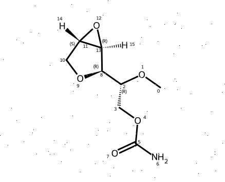 CO[C@H](COC(N)=O)[C@H]1OC[C@@H]2O[C@@H]12